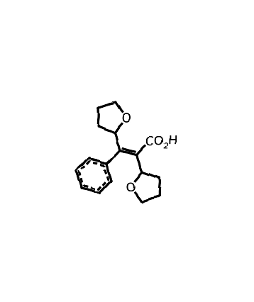 O=C(O)/C(=C(/c1ccccc1)C1CCCO1)C1CCCO1